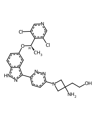 C[C@@H](Oc1ccc2[nH]nc(-c3ccc(N4CC(N)(CCO)C4)nn3)c2c1)c1c(Cl)cncc1Cl